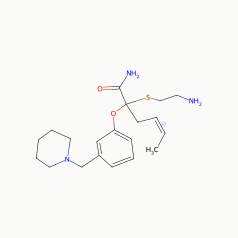 C/C=C\CC(Oc1cccc(CN2CCCCC2)c1)(SCCN)C(N)=O